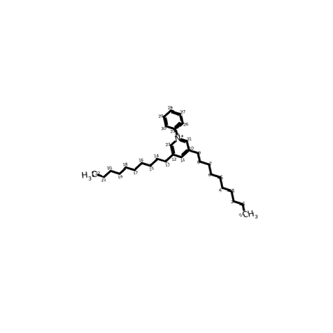 CCCCCCCCCCc1cc(CCCCCCCCCC)c[n+](-c2ccccc2)c1